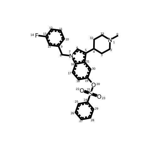 CN1CCC(c2cn(Cc3cccc(F)c3)c3ccc(OS(=O)(=O)c4ccccc4)cc23)CC1